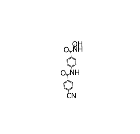 N#Cc1ccc(C(=O)Nc2ccc(C(=O)NO)cc2)cc1